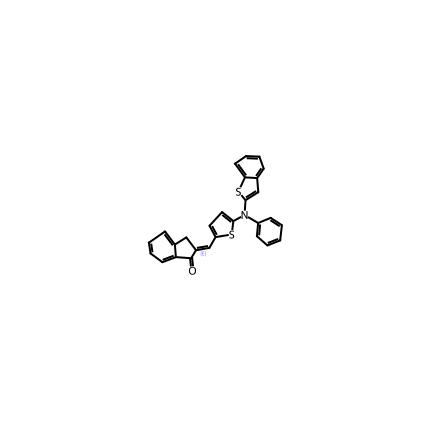 O=C1/C(=C/c2ccc(N(c3ccccc3)c3cc4ccccc4s3)s2)Cc2ccccc21